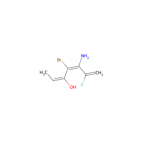 C=C(F)/C(N)=C(Br)\C(O)=C/C